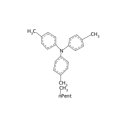 CCCCCC.Cc1ccc(N(c2ccc(C)cc2)c2ccc(C)cc2)cc1